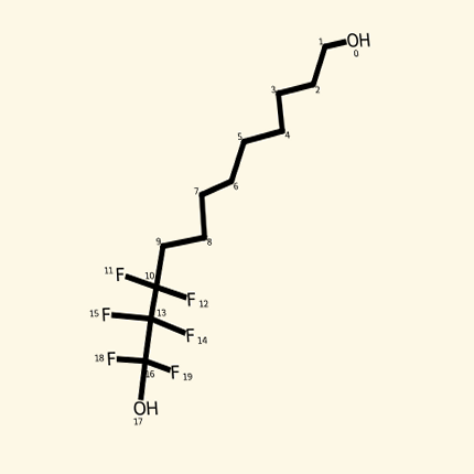 OCCCCCCCCCC(F)(F)C(F)(F)C(O)(F)F